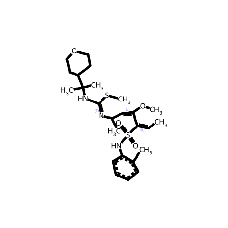 C/C=C(\C(=C/C(C)/N=C(/NC(C)(C)C1CCOCC1)SC)OC)S(=O)(=O)Nc1ccccc1C